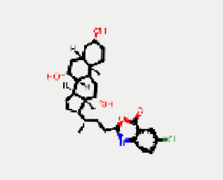 C[C@H](CCc1nc2ccc(Cl)cc2c(=O)o1)[C@H]1CC[C@H]2[C@H]3C(C[C@H](O)[C@]12C)[C@@]1(C)CC[C@@H](O)C[C@H]1C[C@H]3O